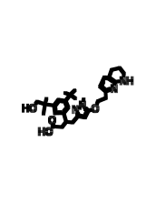 Cn1nc(CC(CC(=O)O)c2cc(C(C)(C)C)cc(C(C)(C)CO)c2)cc1OCCc1ccc2c(n1)NCCC2